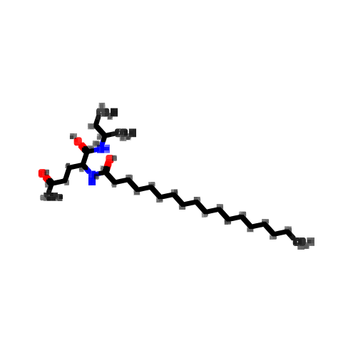 CNC(=O)CCC(NC(=O)CCCCCCCCCCCCCCCCC(=O)O)C(=O)NC(CC(=O)O)C(=O)O